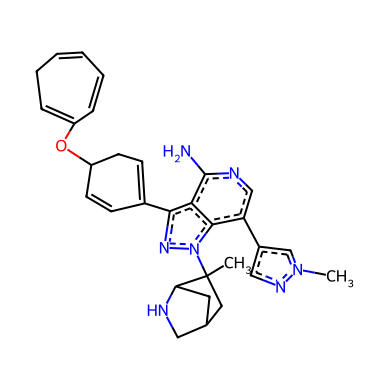 Cn1cc(-c2cnc(N)c3c(C4=CCC(OC5=CCC=CC=C5)C=C4)nn(C4(C)CC5CNC4C5)c23)cn1